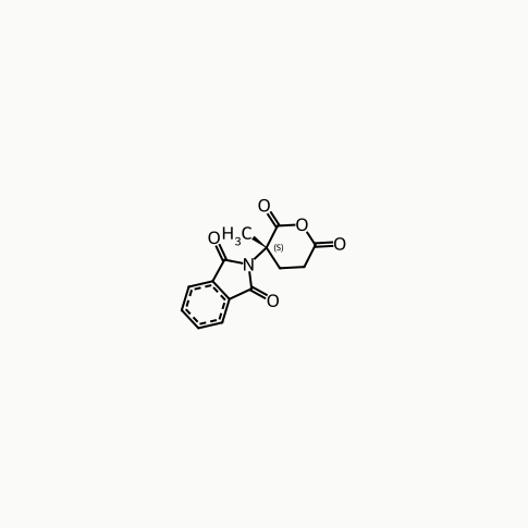 C[C@]1(N2C(=O)c3ccccc3C2=O)CCC(=O)OC1=O